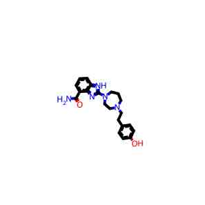 NC(=O)c1cccc2[nH]c(N3CCCN(CCc4ccc(O)cc4)CC3)nc12